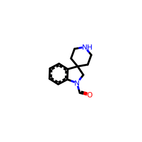 O=CN1CC2(CCNCC2)c2ccccc21